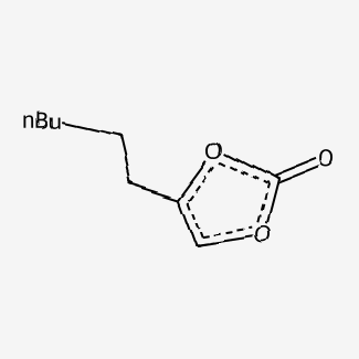 CCCCCCc1coc(=O)o1